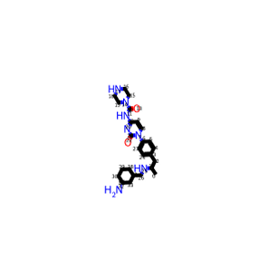 CC(Cc1ccc(-n2ccc(NC(=O)N3CCNCC3)nc2=O)cc1)NCC1CCC[C@@H](N)C1